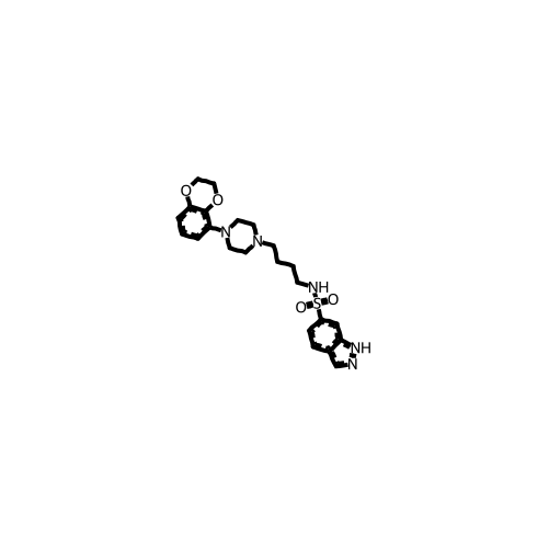 O=S(=O)(NCCCCN1CCN(c2cccc3c2OCCO3)CC1)c1ccc2cn[nH]c2c1